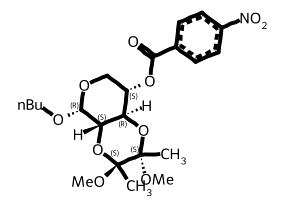 CCCCO[C@@H]1OC[C@H](OC(=O)c2ccc([N+](=O)[O-])cc2)[C@H]2O[C@](C)(OC)[C@@](C)(OC)O[C@H]12